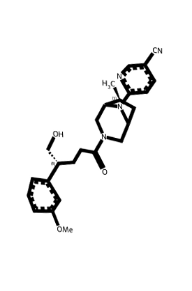 COc1cccc([C@H](CO)CCC(=O)N2CC3C[C@H](C)C(C2)N3c2ccc(C#N)cn2)c1